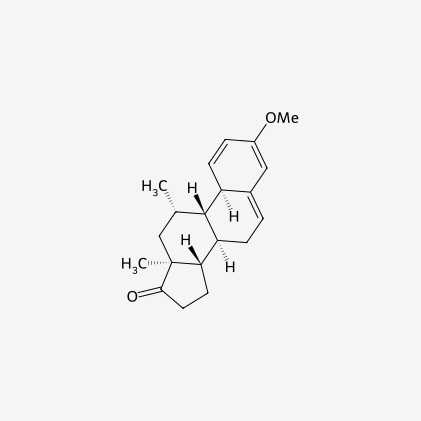 COC1=CC2=CC[C@@H]3[C@H]([C@@H](C)C[C@]4(C)C(=O)CC[C@@H]34)[C@H]2C=C1